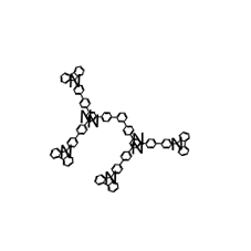 c1cc(-c2ccc(-c3cc(-c4ccc(-c5ccc(-n6c7ccccc7c7ccccc76)cc5)cc4)nc(-c4ccc(-c5ccc(-n6c7ccccc7c7ccccc76)cc5)cc4)n3)cc2)cc(-c2ccc(-c3cc(-c4ccc(-c5ccc(-n6c7ccccc7c7ccccc76)cc5)cc4)nc(-c4ccc(-c5ccc(-n6c7ccccc7c7ccccc76)cc5)cc4)n3)cc2)c1